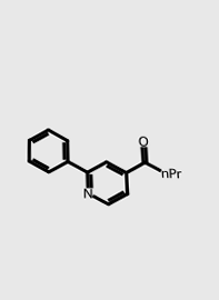 CCCC(=O)c1ccnc(-c2ccccc2)c1